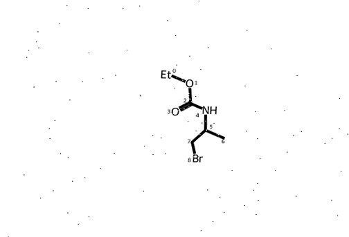 CCOC(=O)NC(C)CBr